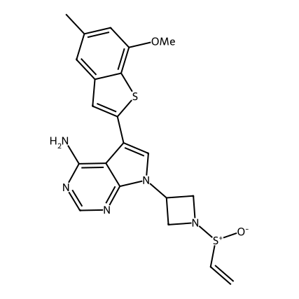 C=C[S+]([O-])N1CC(n2cc(-c3cc4cc(C)cc(OC)c4s3)c3c(N)ncnc32)C1